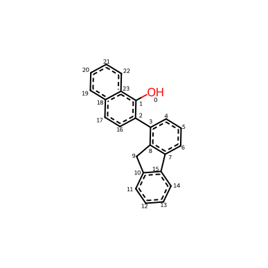 Oc1c(-c2cccc3c2Cc2ccccc2-3)ccc2ccccc12